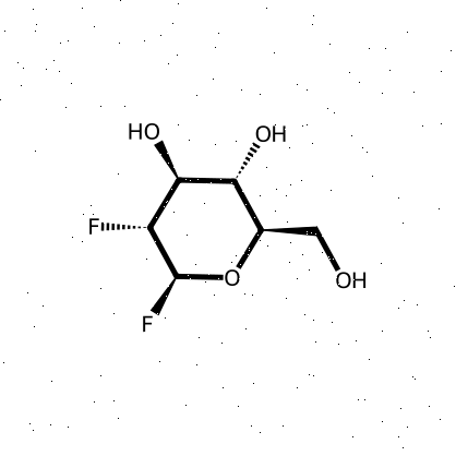 OC[C@H]1O[C@@H](F)[C@H](F)[C@@H](O)[C@@H]1O